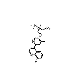 Cc1cc(-c2ccnc3c(F)cccc23)ncc1OC[C@@](C)(N)CC(C)C